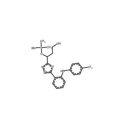 CC(C)(C)[Si](C)(C)OC(CCO)c1nnc(-c2ccccc2Nc2ccc(C(F)(F)F)cc2)o1